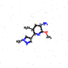 COc1nc(-c2cnn(C)c2)c(C)cc1N